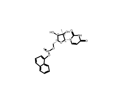 C[C@@]1(O)[C@H](O)[C@@H](CO[PH](=S)Oc2cccc3ccccc23)O[C@H]1n1ccc(=O)[nH]c1=O